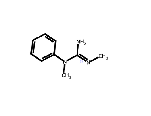 C/N=C(\N)N(C)c1ccccc1